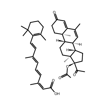 CC(=O)O[C@]1(C(C)=O)CC[C@H]2[C@@H]3C=C(C)C4=CC(=O)CC[C@]4(C)[C@H]3CC[C@@]21C.CC1=C(/C=C/C(C)=C/C=C/C(C)=C\C(=O)O)C(C)(C)CCC1